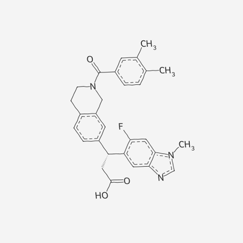 Cc1ccc(C(=O)N2CCc3ccc([C@@H](CC(=O)O)c4cc5ncn(C)c5cc4F)cc3C2)cc1C